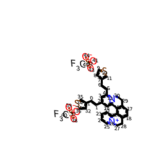 C(=Cc1cc(C=Cc2ccsc2)[n+]2c(c1)-c1c(ccc3c1-c1cccc[n+]1CC3)CC2)c1ccsc1.O=S(=O)([O-])C(F)(F)F.O=S(=O)([O-])C(F)(F)F